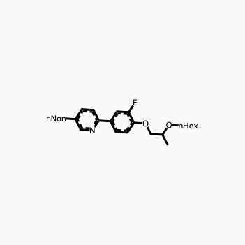 CCCCCCCCCc1ccc(-c2ccc(OCC(C)OCCCCCC)c(F)c2)nc1